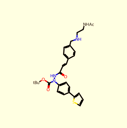 CC(=O)NCCNCc1ccc(C=CC(=O)NN(C(=O)OC(C)(C)C)c2ccc(-c3cccs3)cc2)cc1